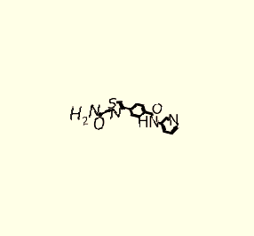 NC(=O)c1nc(-c2ccc(C(=O)Nc3cccnc3)cc2)cs1